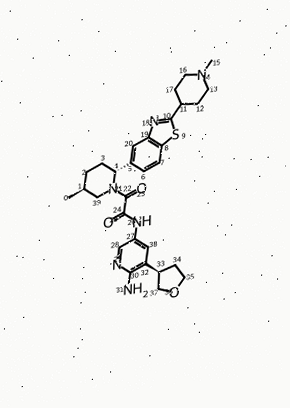 C[C@H]1CC[C@H](c2ccc3sc(C4CCN(C)CC4)nc3c2)N(C(=O)C(=O)Nc2cnc(N)c([C@H]3CCOC3)c2)C1